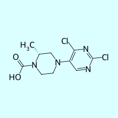 C[C@@H]1CN(c2cnc(Cl)nc2Cl)CCN1C(=O)O